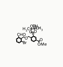 COC(=O)c1ccc(COCc2c(Br)cccc2C=O)c(B2OC(C)(C)C(C)(C)O2)c1